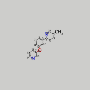 CC1CCC(c2cccc(Oc3cccnc3)c2)=NC1